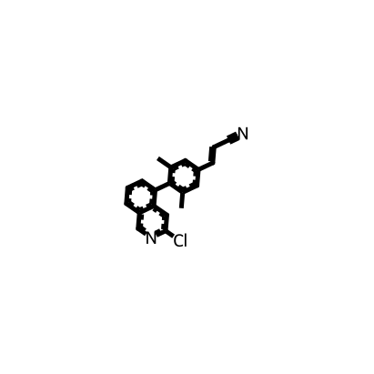 Cc1cc(/C=C/C#N)cc(C)c1-c1cccc2cnc(Cl)cc12